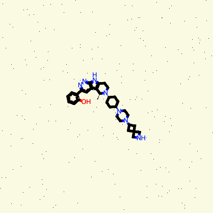 C[C@@H]1c2c([nH]c3nnc(-c4ccccc4O)cc23)CCN1[C@H]1CC[C@H](N2CCN(C3CC4(CNC4)C3)CC2)CC1